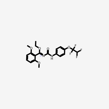 CCO/C(=N\C(=O)Nc1ccc(OC(F)(F)C(F)F)cc1)c1c(OC)cccc1OC